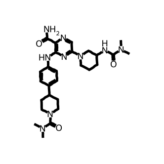 CN(C)C(=O)NC1CCCN(c2cnc(C(N)=O)c(Nc3ccc(C4CCN(C(=O)N(C)C)CC4)cc3)n2)C1